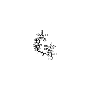 C/C(=C\CC[C@@H](C)[C@H]1CC[C@@]2(C)[C@@H]3CC=C4[C@@H](CC[C@H](O[C@@H]5O[C@H](CO)[C@@H](O)[C@H](O)[C@H]5O)C4(C)C)[C@]3(C)C(=O)C[C@]12C)CO[C@@H]1O[C@H](CO)[C@@H](O)[C@H](O)[C@H]1O[C@@H]1O[C@H](CO)[C@@H](O)[C@H](O)[C@H]1O